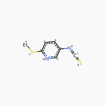 CCSc1ccc(N=C=S)cn1